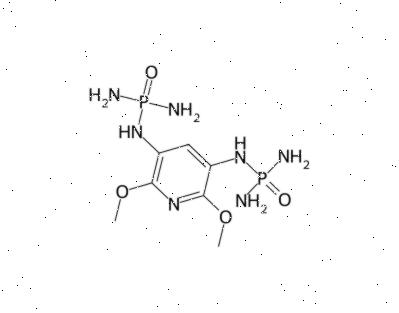 COc1nc(OC)c(NP(N)(N)=O)cc1NP(N)(N)=O